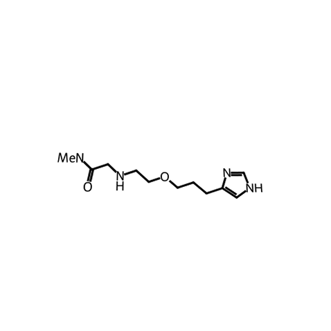 CNC(=O)CNCCOCCCc1c[nH]cn1